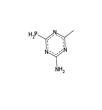 Cc1nc(N)nc(P)n1